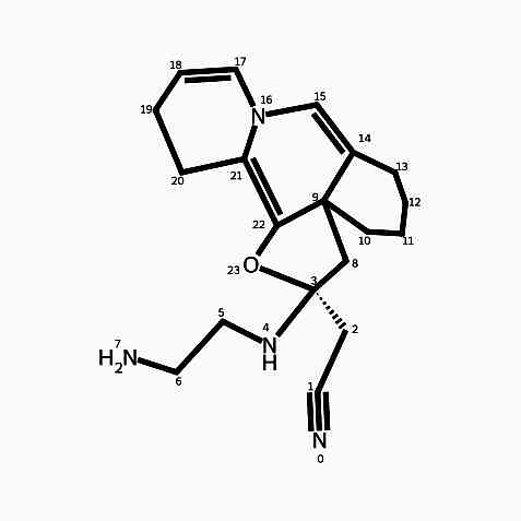 N#CC[C@@]1(NCCN)CC23CCCCC2=CN2C=CCCC2=C3O1